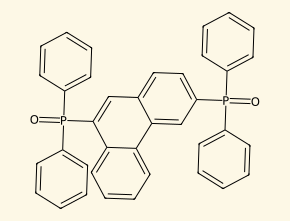 O=P(c1ccccc1)(c1ccccc1)c1ccc2cc(P(=O)(c3ccccc3)c3ccccc3)c3ccccc3c2c1